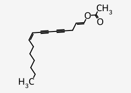 CCCCCC/C=C\C#CC#CC/C=C/OC(C)=O